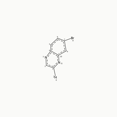 [2H]c1cnc2ccc(Br)cc2n1